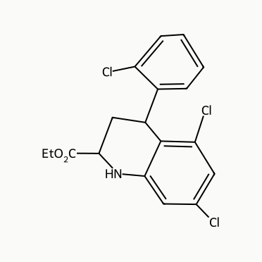 CCOC(=O)C1CC(c2ccccc2Cl)c2c(Cl)cc(Cl)cc2N1